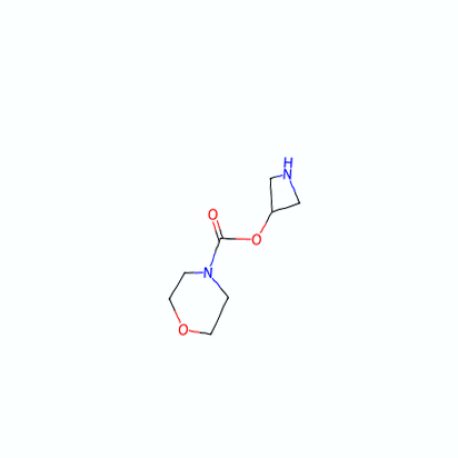 O=C(OC1CNC1)N1CCOCC1